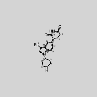 CCc1cn(C2CCNCC2)c2ccc(N3CCC(=O)NC3=O)cc12